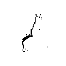 BCCC=CO